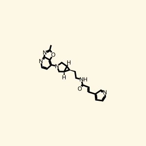 Cc1nc2nccc(N3C[C@@H]4[C@@H](CCNC(=O)/C=C/c5cccnc5)[C@@H]4C3)c2o1